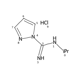 CC(C)NC(=N)n1cccn1.Cl